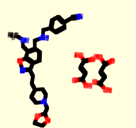 CNCc1c(CNCc2ccc(C#N)cc2)ccc2c(CCC3CCN(CC4OCCO4)CC3)noc12.O=C(O)C=CC(=O)O.O=C(O)C=CC(=O)O